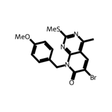 COc1ccc(Cn2c(=O)c(Br)cc3c(C)nc(SC)nc32)cc1